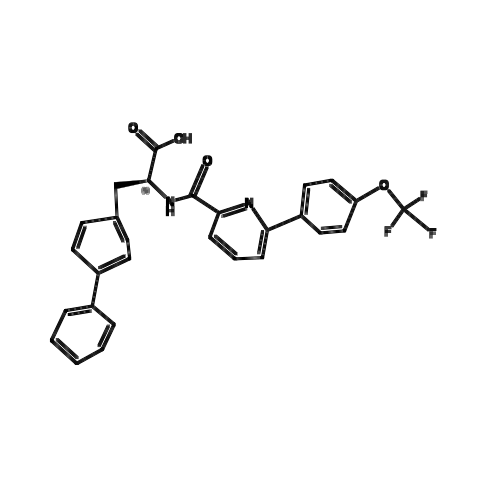 O=C(N[C@@H](Cc1ccc(-c2ccccc2)cc1)C(=O)O)c1cccc(-c2ccc(OC(F)(F)F)cc2)n1